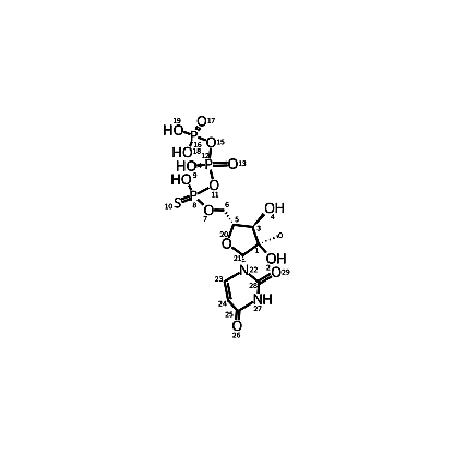 C[C@@]1(O)[C@H](O)[C@@H](COP(O)(=S)OP(=O)(O)OP(=O)(O)O)O[C@H]1n1ccc(=O)[nH]c1=O